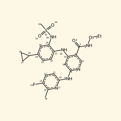 CCONC(=O)c1cnc(Nc2ccc(F)c(C)n2)cc1Nc1ccc(C2CC2)cc1NS(C)(=O)=O